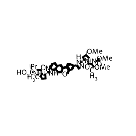 COC[C@H]1C[C@@H](c2ncc(-c3ccc4c(c3)COc3cc5c(ccc6nc([C@@H]7CC[C@H](C)N7C(=O)[C@@H](NC(=O)O)C(C)C)[nH]c65)cc3-4)[nH]2)N(C(=O)[C@@H](NC(=O)OC)[C@H](C)OC)C1